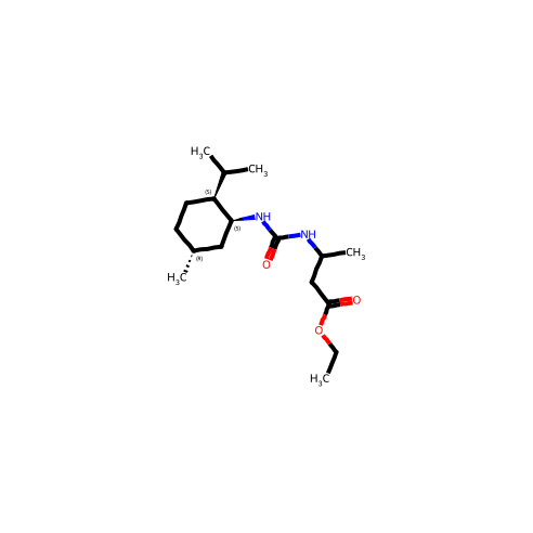 CCOC(=O)CC(C)NC(=O)N[C@H]1C[C@H](C)CC[C@H]1C(C)C